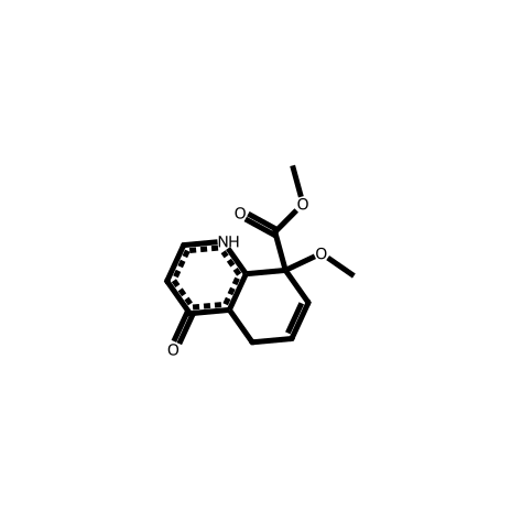 COC(=O)C1(OC)C=CCc2c1[nH]ccc2=O